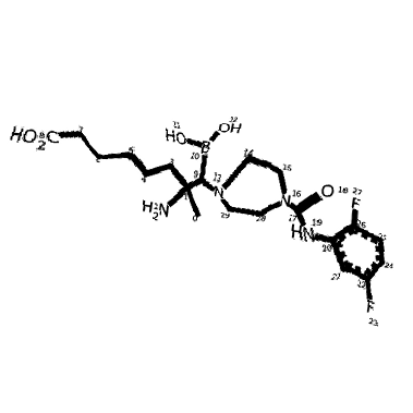 CC(N)(CCCCCC(=O)O)C(B(O)O)N1CCN(C(=O)Nc2cc(F)ccc2F)CC1